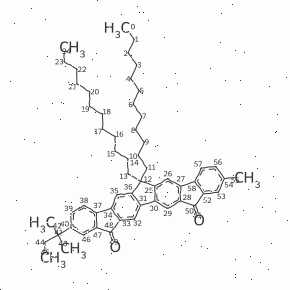 CCCCCCCCCCCCC1(CCCCCCCCCCCC)c2cc3c(cc2-c2cc4c(cc21)-c1ccc(C(C)(C)CC)cc1C4=O)C(=O)c1cc(C)ccc1-3